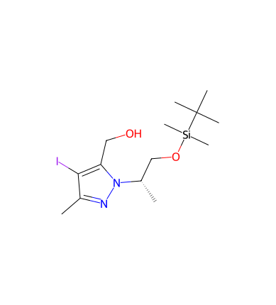 Cc1nn([C@@H](C)CO[Si](C)(C)C(C)(C)C)c(CO)c1I